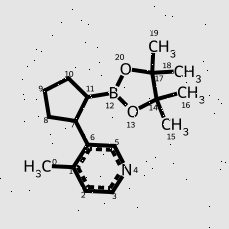 Cc1ccncc1C1CCCC1B1OC(C)(C)C(C)(C)O1